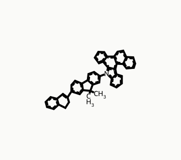 CC1(C)c2cc(C3=Cc4ccccc4CC3)ccc2-c2ccc(-n3c4ccccc4c4c5c6ccccc6ccc5c5ccccc5c43)cc21